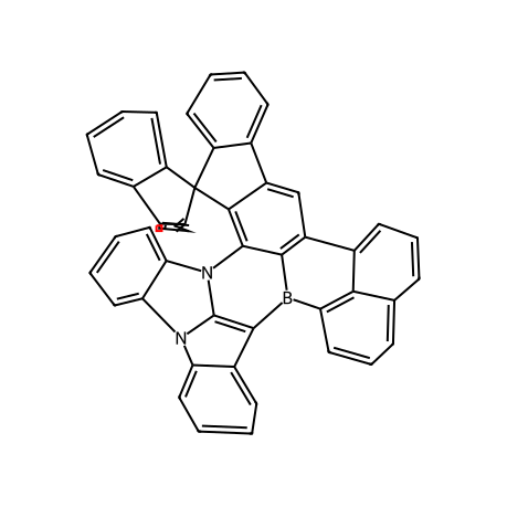 c1ccc2c(c1)-c1ccccc1C21c2ccccc2-c2cc3c4c(c21)-n1c2ccccc2n2c5ccccc5c(c12)B4c1cccc2cccc-3c12